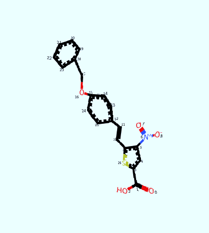 O=C(O)c1cc([N+](=O)[O-])c(C=Cc2ccc(OCc3ccccc3)cc2)s1